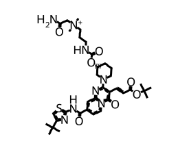 CC(C)(C)OC(=O)C=Cc1c(N2CCC[C@@H](OC(=O)NCCC[N+](C)(C)CC(N)=O)C2)nc2cc(C(=O)Nc3nc(C(C)(C)C)cs3)ccn2c1=O